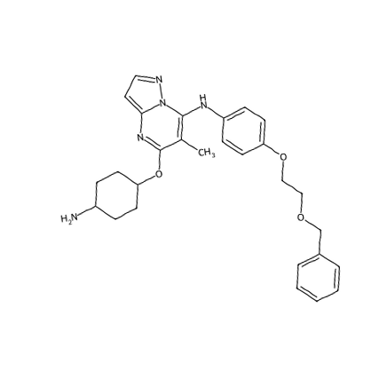 Cc1c(OC2CCC(N)CC2)nc2ccnn2c1Nc1ccc(OCCOCc2ccccc2)cc1